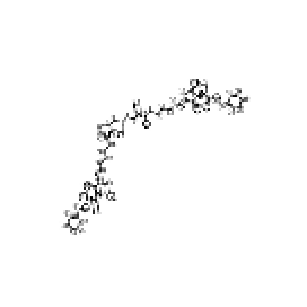 CC(CCCCNC(=O)CCCCCSC1CC(=O)N(NC(=O)OCc2ccccc2)C1=O)NC(=O)CCCCCSC1CC(=O)N(NC(=O)OCc2ccccc2)C1=O